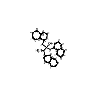 NC(c1ccc2ccccc2c1)C(O)(Cc1cccc2ccccc12)Cc1cccc2ccccc12